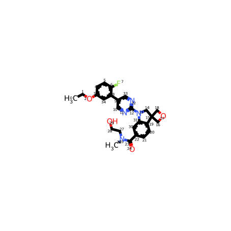 CCOc1ccc(F)c(-c2cnc(N3CC4(COC4)c4ccc(C(=O)N(C)CCO)cc43)nc2)c1